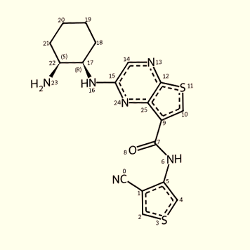 N#Cc1cscc1NC(=O)c1csc2ncc(N[C@@H]3CCCC[C@@H]3N)nc12